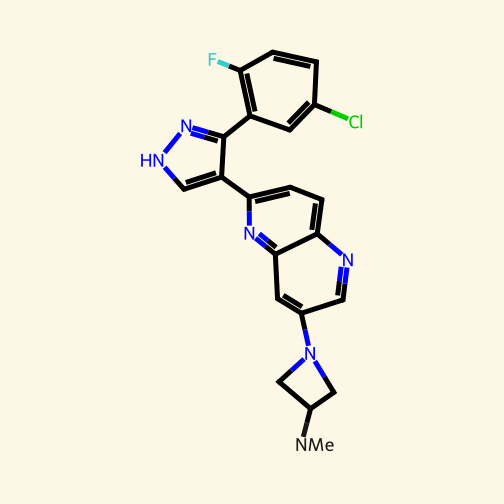 CNC1CN(c2cnc3ccc(-c4c[nH]nc4-c4cc(Cl)ccc4F)nc3c2)C1